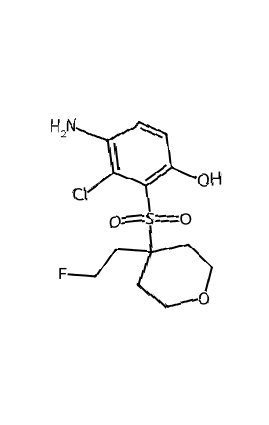 Nc1ccc(O)c(S(=O)(=O)C2(CCF)CCOCC2)c1Cl